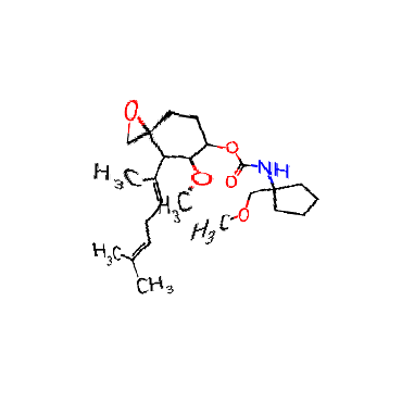 COCC1(NC(=O)OC2CC[C@]3(CO3)C(/C(C)=C/CC=C(C)C)C2OC)CCCC1